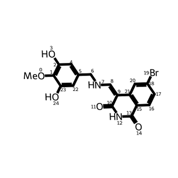 COc1c(O)cc(CNC=C2C(=O)NC(=O)c3ccc(Br)cc32)cc1O